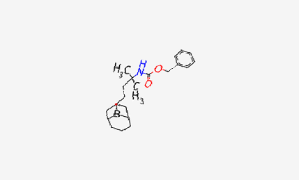 CC(C)(CCCB1C2CCCC1CCC2)NC(=O)OCc1ccccc1